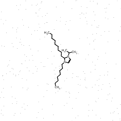 CCCCCCCCCC1N(CCCCCCCC)C=CN1C(C)C